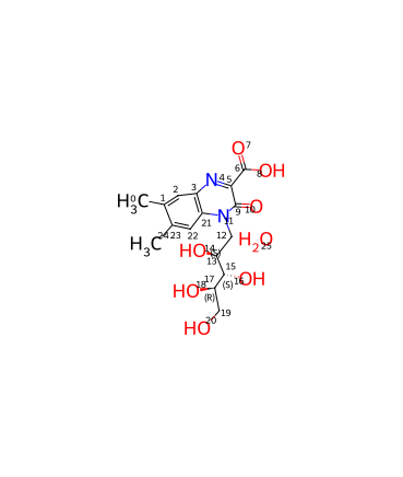 Cc1cc2nc(C(=O)O)c(=O)n(C[C@H](O)[C@H](O)[C@H](O)CO)c2cc1C.O